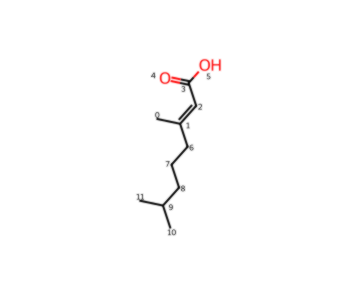 C/C(=C\C(=O)O)CCCC(C)C